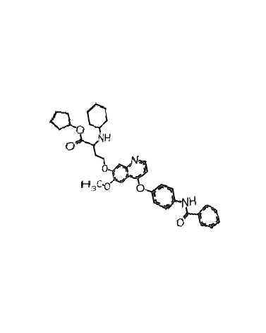 COc1cc2c(Oc3ccc(NC(=O)c4ccccc4)cc3)ccnc2cc1OCCC(NC1CCCCC1)C(=O)OC1CCCC1